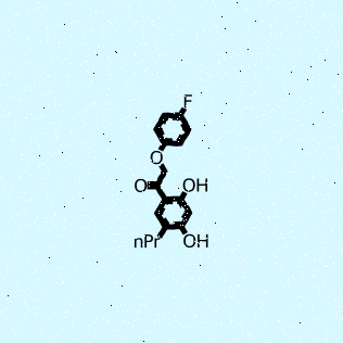 CCCc1cc(C(=O)COc2ccc(F)cc2)c(O)cc1O